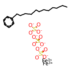 CCCCCCCCCCCCc1ccccc1.O=S(=O)([O-])[O-].O=S(=O)([O-])[O-].O=S(=O)([O-])[O-].[Fe+3].[Fe+3]